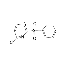 O=S(=O)(c1ccccc1)c1nccc(Cl)n1